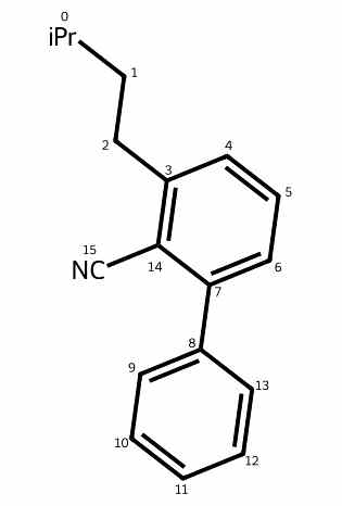 CC(C)CCc1cccc(-c2ccccc2)c1C#N